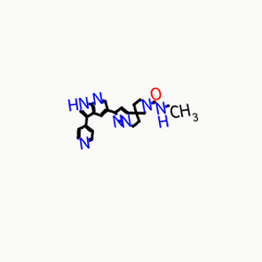 CCNC(=O)N1CCC2(CCn3nc(-c4cnc5[nH]cc(-c6ccncc6)c5c4)cc32)C1